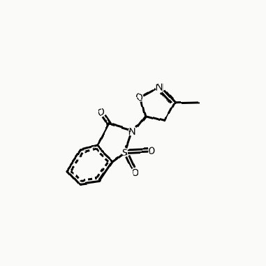 CC1=NOC(N2C(=O)c3ccccc3S2(=O)=O)C1